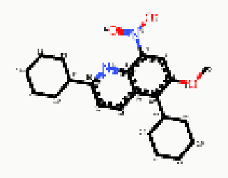 COc1cc([N+](=O)[O-])c2nc(C3CCCCC3)ccc2c1C1CCCCC1